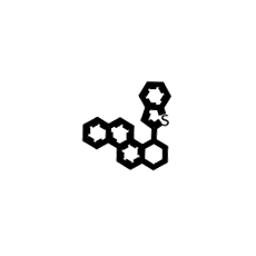 c1ccc2sc(C3CCCc4ccc5c(ccc6ccccc65)c43)cc2c1